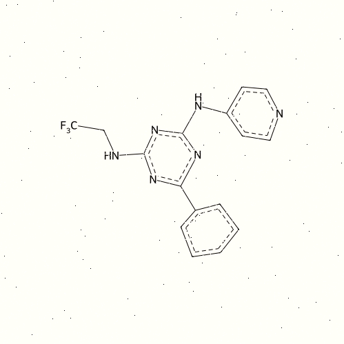 FC(F)(F)CNc1nc(Nc2ccncc2)nc(-c2ccccc2)n1